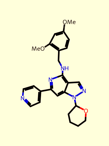 COc1ccc(CNc2nc(-c3ccncc3)cc3c2cnn3C2CCCCO2)c(OC)c1